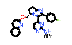 CCCNc1nccc(-c2c(-c3ccc(F)cc3)nc3n2[C@@H](COc2ccc4ccccc4n2)CC3)n1